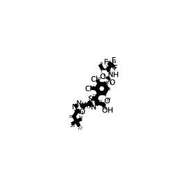 CC[C@H](NS(=O)(=O)c1ccc(-c2sc(-c3nnc(CC(C)(C)C)o3)nc2C(=O)O)c(Cl)c1Cl)C(F)(F)F